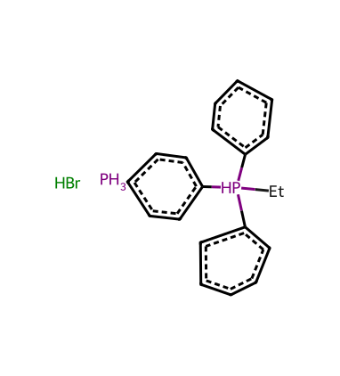 Br.CC[PH](c1ccccc1)(c1ccccc1)c1ccccc1.P